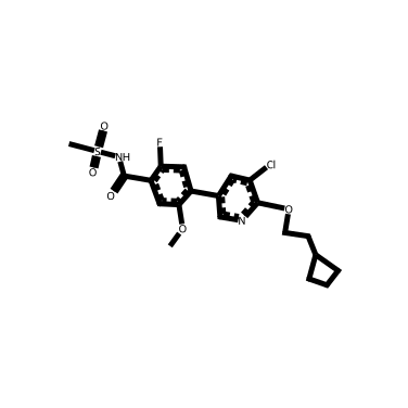 COc1cc(C(=O)NS(C)(=O)=O)c(F)cc1-c1cnc(OCCC2CCC2)c(Cl)c1